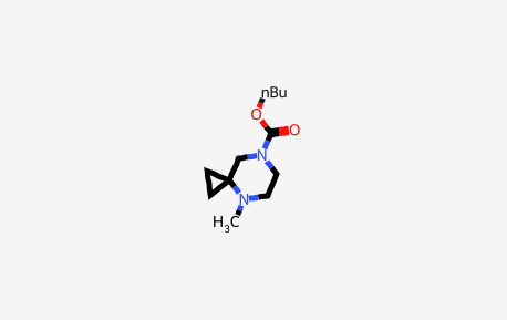 CCCCOC(=O)N1CCN(C)C2(CC2)C1